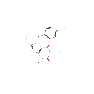 CCCCn1c(=O)c2c(nc(SC(C)C)n2Cc2ccc(Cl)cc2)n(C)c1=O